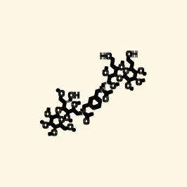 COCC1OC(OC(C(OC)C(CN(Cc2cccc(CN(C[C@@H](OC)[C@H](OC)[C@H](O[C@H]3OC(CCO)[C@@H](OC)[C@@H](OC)C3OC)C(CCO)OC)C(C)=O)c2)C(C)=O)OC)[C@@H](CO)COC)C(OC)C(OC)[C@@H]1OC